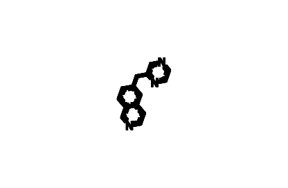 c1cnc(Cc2ccc3cnccc3c2)cn1